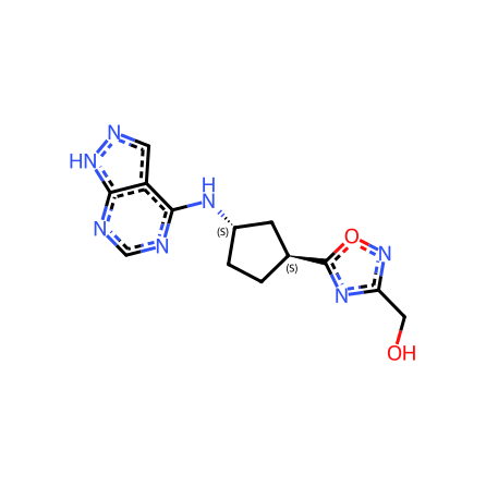 OCc1noc([C@H]2CC[C@H](Nc3ncnc4[nH]ncc34)C2)n1